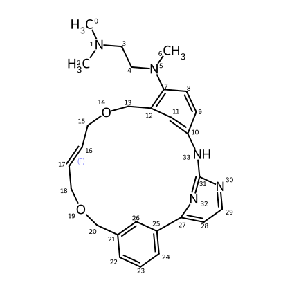 CN(C)CCN(C)c1ccc2cc1COC/C=C/COCc1cccc(c1)-c1ccnc(n1)N2